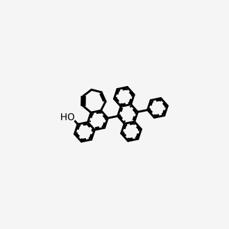 Oc1cccc2cc(-c3c4ccccc4c(-c4ccccc4)c4ccccc34)c3c(c12)C#CCC=C3